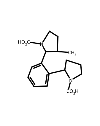 CC1CCN(C(=O)O)C1c1ccccc1C1CCCN1C(=O)O